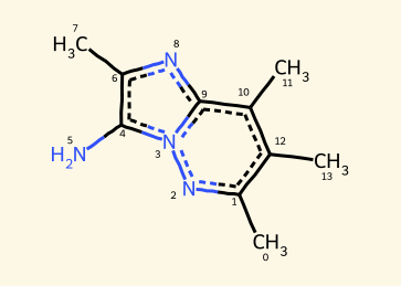 Cc1nn2c(N)c(C)nc2c(C)c1C